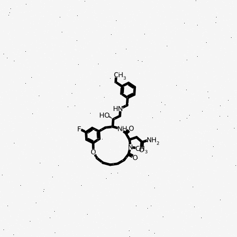 CCc1cccc(CNC[C@@H](O)C2Cc3cc(F)cc(c3)OCCCCCC(=O)N(C)C(CC(N)=O)C(=O)N2)c1